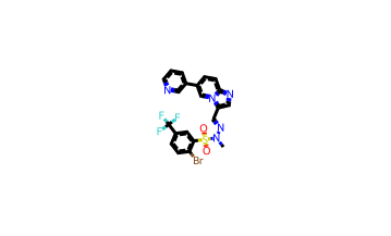 CN(N=Cc1cnc2ccc(-c3cccnc3)cn12)S(=O)(=O)c1cc(C(F)(F)F)ccc1Br